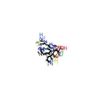 COC1(c2cccnc2)[C@H](S)OC(Cl)(CO)[C@@H](O)[C@@]1(c1cccnc1)n1cc(-c2csc(N)n2)nn1